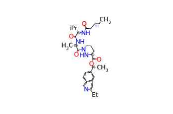 C/C=C/CC(=O)N[C@H](C(=O)N[C@@H](C)C(=O)N1CCC[C@@H](C(=O)O[C@H](C)c2ccc3cnc(CC)cc3c2)N1)C(C)C